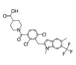 Cc1cc2cc(Cc3c(Cl)ccc(C(=O)N4CCC(C(=O)O)CC4)c3Cl)n(C)c2cc1C(F)(F)F